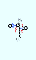 CCCCCCCC(c1cc(C)cc(-n2nc3ccccc3n2)c1O)N1C(=O)c2ccccc2C1=O